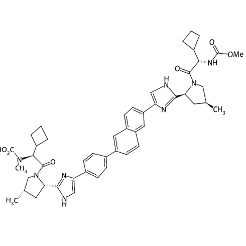 COC(=O)N[C@H](C(=O)N1C[C@@H](C)C[C@H]1c1nc(-c2ccc3cc(-c4ccc(-c5c[nH]c([C@@H]6C[C@H](C)CN6C(=O)[C@H](C6CCC6)N(C)C(=O)O)n5)cc4)ccc3c2)c[nH]1)C1CCC1